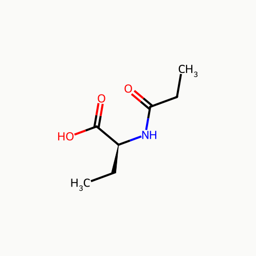 CCC(=O)N[C@@H](CC)C(=O)O